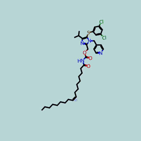 CCCCCCCC/C=C\CCCCCCCC(=O)NC(=O)OCc1nc(C(C)C)c(Sc2cc(Cl)cc(Cl)c2)n1Cc1ccncc1